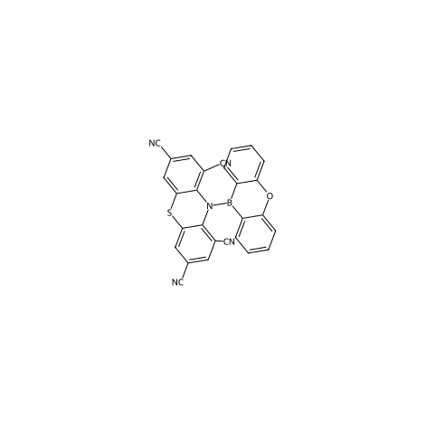 N#Cc1cc(C#N)c2c(c1)Sc1cc(C#N)cc(C#N)c1N2B1c2ccccc2Oc2ccccc21